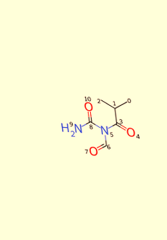 CC(C)C(=O)N(C=O)C(N)=O